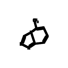 FC(F)(F)c1cccc2nncn12